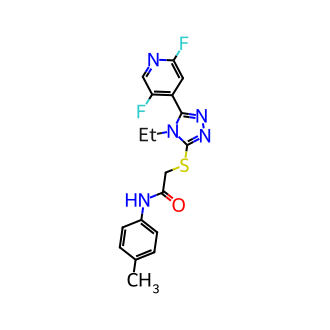 CCn1c(SCC(=O)Nc2ccc(C)cc2)nnc1-c1cc(F)ncc1F